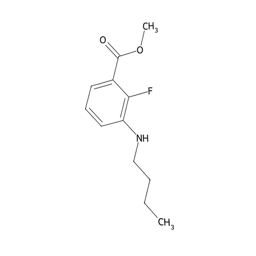 CCCCNc1cccc(C(=O)OC)c1F